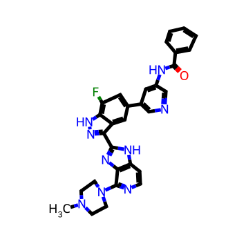 CN1CCN(c2nccc3[nH]c(-c4n[nH]c5c(F)cc(-c6cncc(NC(=O)c7ccccc7)c6)cc45)nc23)CC1